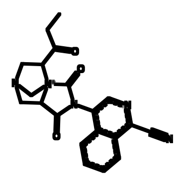 CCC(=O)C1CN2CC3C(=O)N(c4cnc(C#N)c5ccccc45)C(=O)[N+]13C2